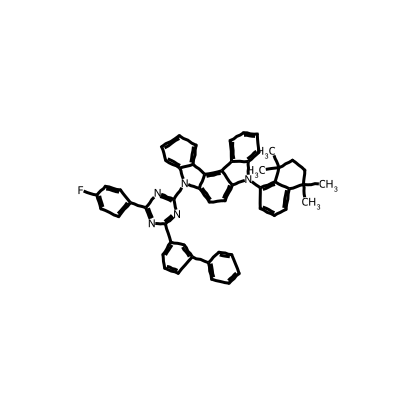 CC1(C)CCC(C)(C)c2c(-n3c4ccccc4c4c5c6ccccc6n(-c6nc(-c7ccc(F)cc7)nc(-c7cccc(-c8ccccc8)c7)n6)c5ccc43)cccc21